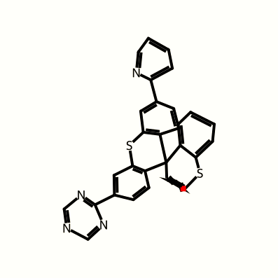 c1ccc(-c2ccc3c(c2)Sc2cc(-c4ncncn4)ccc2C32c3ccccc3Sc3ccccc32)nc1